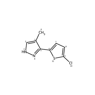 Cc1c[nH]nc1-c1ccc(Cl)s1